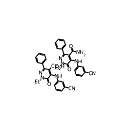 CCn1nc(-c2ccccc2)c(C(=O)O)c(Nc2cccc(C#N)c2)c1=O.CCn1nc(-c2ccccc2)c(C(N)=O)c(Nc2cccc(C#N)c2)c1=O